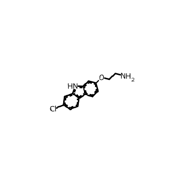 NCCOc1ccc2c(c1)[nH]c1cc(Cl)ccc12